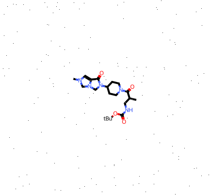 CC(CNC(=O)OC(C)(C)C)C(=O)N1CCC(N2CN3CN(C)C=C3C2=O)CC1